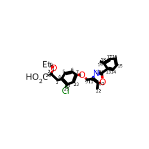 CCO[C@@H](Cc1ccc(OCc2nc(-c3ccccc3C)oc2C)cc1Cl)C(=O)O